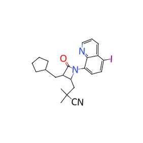 CC(C)(C#N)CC1C(CC2CCCC2)C(=O)N1c1ccc(I)c2cccnc12